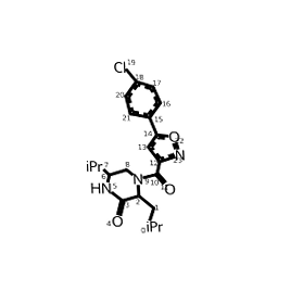 CC(C)CC1C(=O)NC(C(C)C)CN1C(=O)c1cc(-c2ccc(Cl)cc2)on1